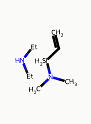 C=C[SiH2]N(C)C.CCNCC